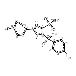 CCCS(=O)(=O)c1oc(-c2ccc(F)cc2)nc1S(=O)(=O)c1ccc(F)cc1